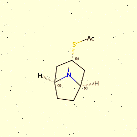 CC(=O)S[C@@H]1C[C@H]2CC[C@@H](C1)N2C